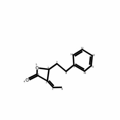 C/C=C1/C(=O)OC1CCc1ccccc1